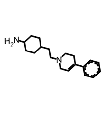 NC1CCC(CCN2CC=C(c3ccccc3)CC2)CC1